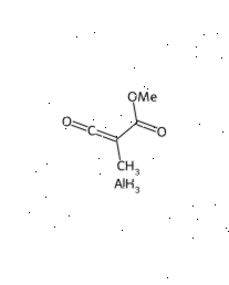 COC(=O)C(C)=C=O.[AlH3]